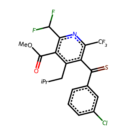 COC(=O)c1c(C(F)F)nc(C(F)(F)F)c(C(=S)c2cccc(Cl)c2)c1CC(C)C